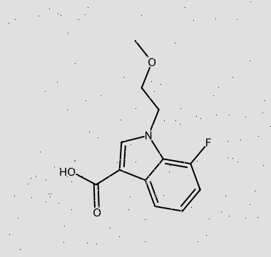 COCCn1cc(C(=O)O)c2cccc(F)c21